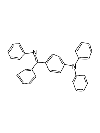 c1ccc(/N=C(\c2ccccc2)c2ccc(N(c3ccccc3)c3ccccc3)cc2)cc1